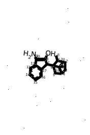 CC1CCC2CC1(C1C(O)=C(N)c3ccccc31)C2(C)C